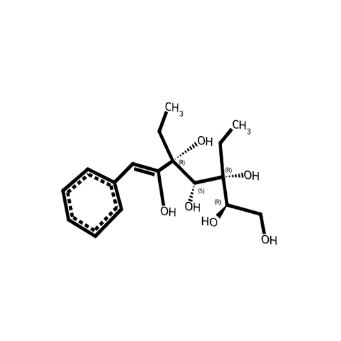 CC[C@@](O)([C@H](O)CO)[C@H](O)[C@](O)(CC)C(O)=Cc1ccccc1